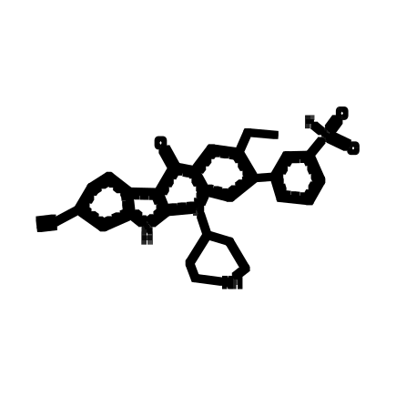 C#Cc1ccc2c(c1)[nH]c1c2c(=O)c2cc(CC)c(-c3cccc(S(=O)(=O)F)c3)cc2n1C1CCNCC1